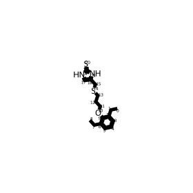 CCc1cccc(CC)c1OCCCSCc1c[nH]c(=S)[nH]1